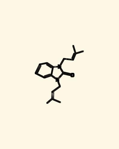 CC(C)=CCn1c(=O)n(CC=C(C)C)c2ccccc21